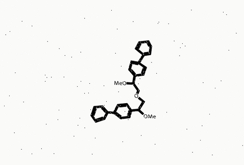 COC(COCC(OC)c1ccc(-c2ccccc2)cc1)c1ccc(-c2ccccc2)cc1